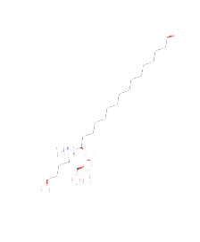 O=CCCCCCCCCCCCCCCC(=O)NC(CCC=O)C(=O)O